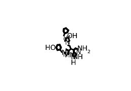 Nc1cc(C(CCN2C[C@H](Cc3ccccc3)[C@@H](O)C2)c2cnn(Cc3cccc(O)c3)c2)c2c(n1)NNN2